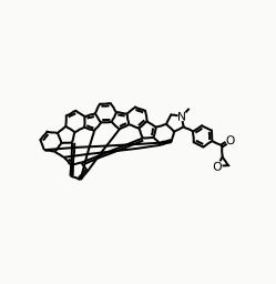 CN1CC2c3c4ccc5c6ccc7c8c9c%10c%11c%12c%13c%14c(c3c3c4c5c(c6c7%10)c%11c%133)=C(C3C=CC4C(C=C8)C9C=%12C4C%143)C2C1c1ccc(C(=O)C2CO2)cc1